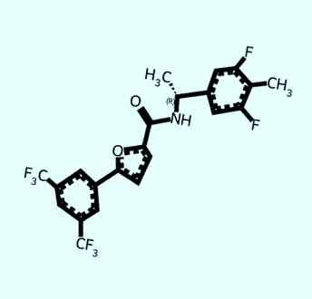 Cc1c(F)cc([C@@H](C)NC(=O)c2ccc(-c3cc(C(F)(F)F)cc(C(F)(F)F)c3)o2)cc1F